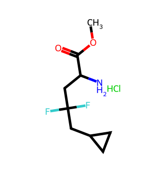 COC(=O)C(N)CC(F)(F)CC1CC1.Cl